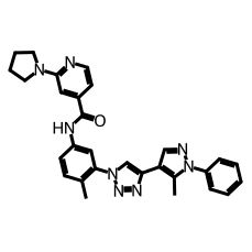 Cc1ccc(NC(=O)c2ccnc(N3CCCC3)c2)cc1-n1cc(-c2cnn(-c3ccccc3)c2C)nn1